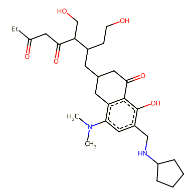 CCC(=O)CC(=O)C(CO)C(CCO)CC1CC(=O)c2c(O)c(CNC3CCCC3)cc(N(C)C)c2C1